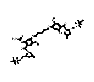 C=C1C[C@@H](CO[Si](C)(C)C(C)(C)C)N(C(=O)c2cc(OC)c(OCCCCCOc3cc(OC(N)=O)c(C(=O)N4CC(=C)C[C@H]4CO[Si](C)(C)C(C)(C)C)cc3OC)cc2N)C1